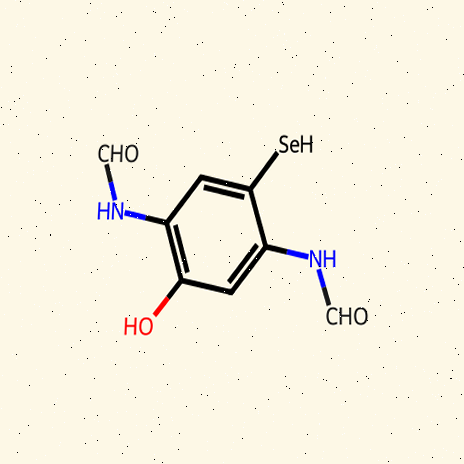 O=CNc1cc([SeH])c(NC=O)cc1O